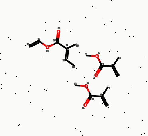 C=C(C)C(=O)OC.C=C(C)C(=O)OC.C=COC(=O)C(C)=CC